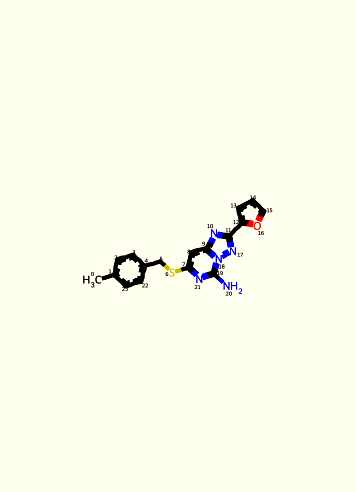 Cc1ccc(CSc2cc3nc(-c4ccco4)nn3c(N)n2)cc1